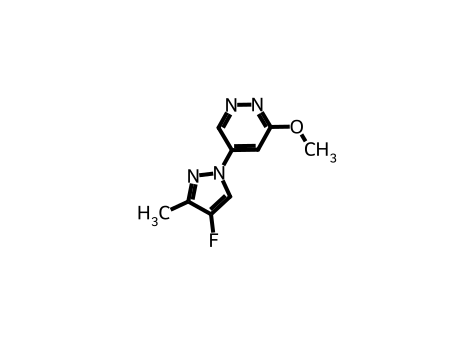 COc1cc(-n2cc(F)c(C)n2)cnn1